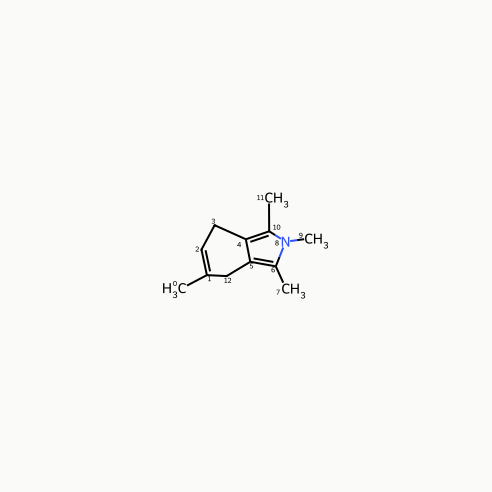 CC1=CCc2c(c(C)n(C)c2C)C1